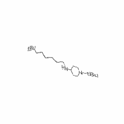 CC(C)(C)CCCCCCNC1CCN(C(C)(C)C)CC1